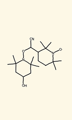 CC1(C)CC(O)CC(C)(C)N1OC(C#N)C1CCC(C)(C)N([O])C1(C)C